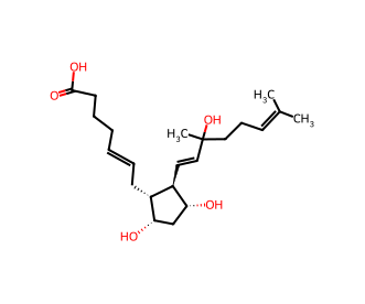 CC(C)=CCCC(C)(O)C=C[C@@H]1[C@@H](CC=CCCCC(=O)O)[C@@H](O)C[C@H]1O